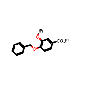 CCOC(=O)c1ccc(OCc2ccccc2)c(OC(C)C)c1